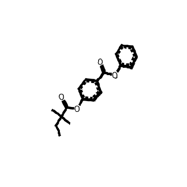 CCC(C)(C)C(=O)Oc1ccc(C(=O)Oc2ccccc2)cc1